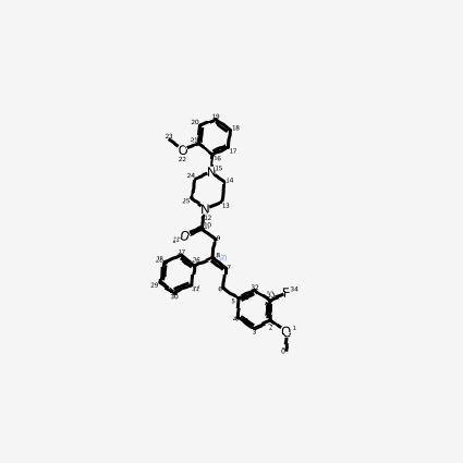 COc1ccc(C/C=C(/CC(=O)N2CCN(c3ccccc3OC)CC2)c2ccccc2)cc1F